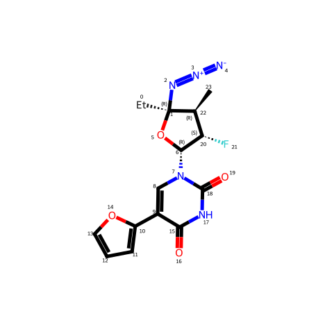 CC[C@@]1(N=[N+]=[N-])O[C@@H](n2cc(-c3ccco3)c(=O)[nH]c2=O)[C@@H](F)[C@@H]1C